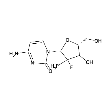 Nc1ccn([C@@H]2O[C@H](CO)C(O)C2(F)P)c(=O)n1